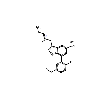 Cl.N#Cc1cc(-c2cc(CO)ccc2F)c2nnn(C/C(F)=C/CN)c2c1